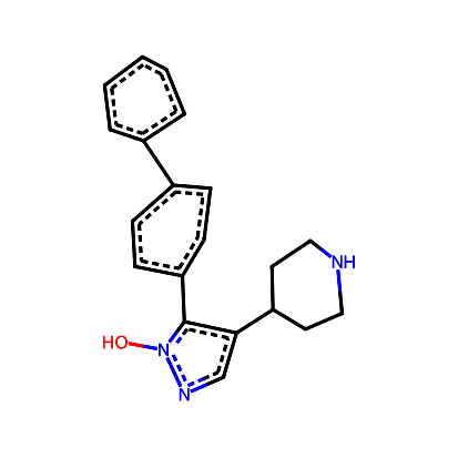 On1ncc(C2CCNCC2)c1-c1ccc(-c2ccccc2)cc1